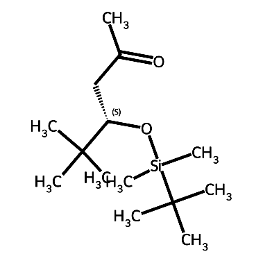 CC(=O)C[C@H](O[Si](C)(C)C(C)(C)C)C(C)(C)C